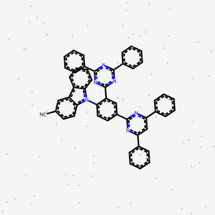 N#Cc1ccc2c(c1)c1ccccc1n2-c1ccc(-c2nc(-c3ccccc3)cc(-c3ccccc3)n2)cc1-c1nc(-c2ccccc2)nc(-c2ccccc2)n1